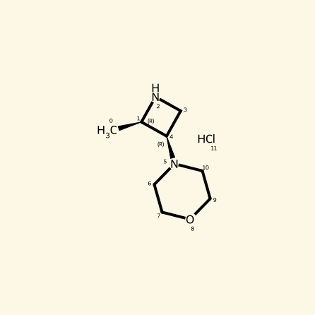 C[C@H]1NC[C@H]1N1CCOCC1.Cl